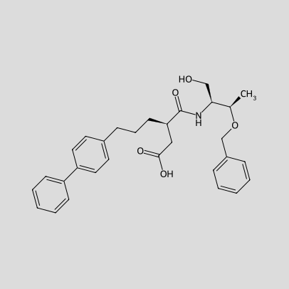 C[C@@H](OCc1ccccc1)[C@H](CO)NC(=O)[C@H](CCCc1ccc(-c2ccccc2)cc1)CC(=O)O